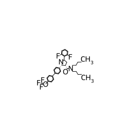 CCCCCN(CCCCC)C(=O)[C@H]1CC(c2c(F)cccc2F)=N[C@H]1c1ccc(-c2ccc(OC(F)(F)F)cc2)cc1